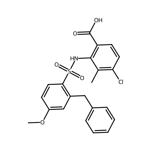 COc1ccc(S(=O)(=O)Nc2c(C(=O)O)ccc(Cl)c2C)c(Cc2ccccc2)c1